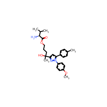 COc1ccc(-n2nc(C(C)(O)CCCOC(=O)[C@@H](N)C(C)C)cc2-c2ccc(C)cc2)cc1